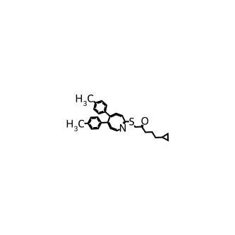 Cc1ccc(C2=C=C/N=C(/SCC(=O)CCCC3CC3)C=C=C2c2ccc(C)cc2)cc1